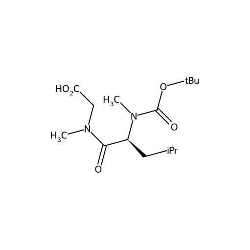 CC(C)C[C@@H](C(=O)N(C)CC(=O)O)N(C)C(=O)OC(C)(C)C